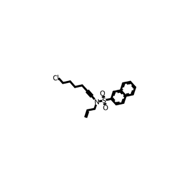 C=CCN(C#CCCCCCl)S(=O)(=O)c1ccc2ccccc2c1